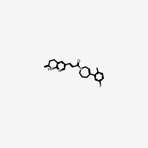 C=C1CCc2cc(/C=C/C(=O)N3CC=C(c4cc(F)ccc4C)CCC3)cnc2N1